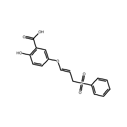 O=C(O)c1cc(OC=CCS(=O)(=O)c2ccccc2)ccc1O